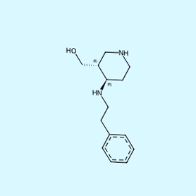 OC[C@@H]1CNCC[C@H]1NCCc1ccccc1